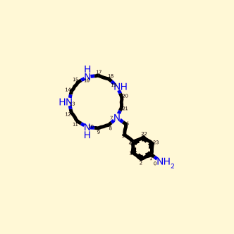 Nc1ccc(CCN2CCNCCNCCNCCNCC2)cc1